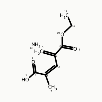 C=C(C=C(C)C(=O)O)C(=O)OCC.N